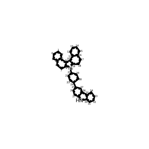 c1ccc2c(c1)ccc1c2c2c3ccccc3ccc2n1-c1ccc(-c2ccc3[nH]c4ccccc4c3c2)cc1